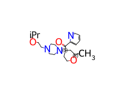 CC(C)OCCN1CCN([C@@]2(C(=O)c3ccccn3)CCO[C@H](C)C2)CC1